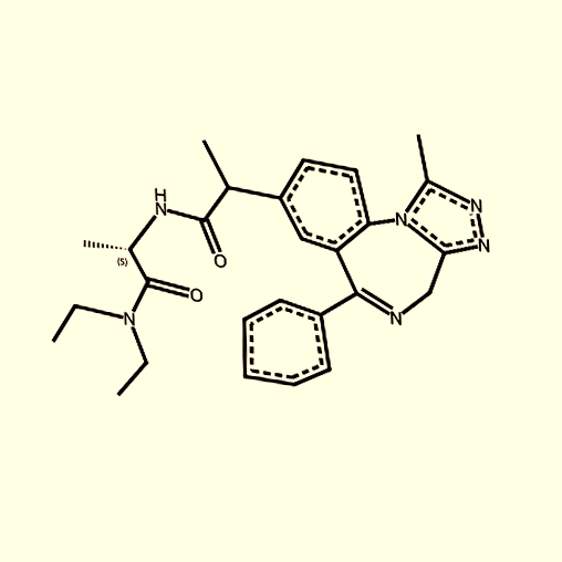 CCN(CC)C(=O)[C@H](C)NC(=O)C(C)c1ccc2c(c1)C(c1ccccc1)=NCc1nnc(C)n1-2